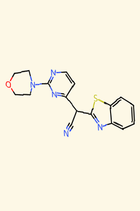 N#CC(c1ccnc(N2CCOCC2)n1)c1nc2ccccc2s1